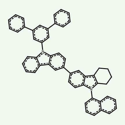 c1ccc(-c2cc(-c3ccccc3)cc(-n3c4ccccc4c4cc(-c5ccc6c(c5)c5c(n6-c6cccc7ccccc67)CCCC5)ccc43)c2)cc1